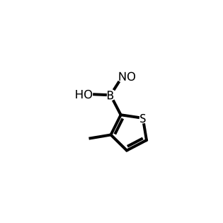 Cc1ccsc1B(O)N=O